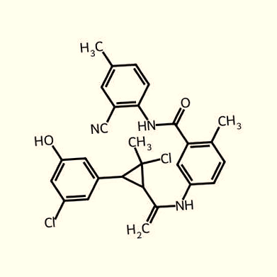 C=C(Nc1ccc(C)c(C(=O)Nc2ccc(C)cc2C#N)c1)C1C(c2cc(O)cc(Cl)c2)C1(C)Cl